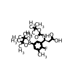 Cc1cc(B2OC(C)(C)C(C)(C)O2)cc([C@H](CC(=O)O)NC(=O)OC(C)(C)C)c1F